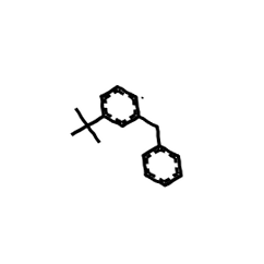 CC(C)(C)c1cc[c]c(Cc2ccccc2)c1